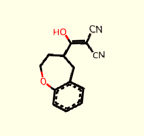 N#CC(C#N)=C(O)C1CCOc2ccccc2C1